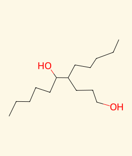 CCCCCC(O)C(CCCO)CCCCC